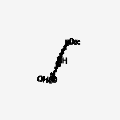 CCCCCCCCCCCCCCCCCCNCOCCCCCCOC(=O)C=O